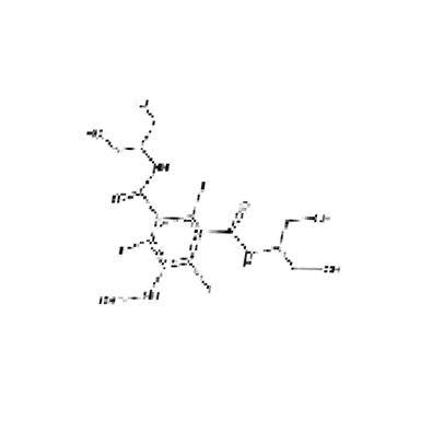 O=CNc1c(I)c(C(=O)NC(CO)CO)c(I)c(C(=O)NC(CO)CO)c1I